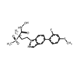 CSc1ccc(-c2ccc3c(cnn3CC[C@](C)(C(=O)NO)S(C)(=O)=O)c2)c(F)c1